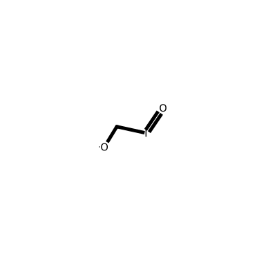 [O]CI=O